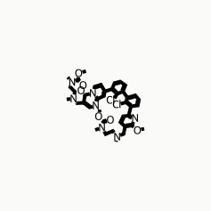 COC(=O)N(C)CCN(C)Cc1ccc(-c2cccc(-c3cccc(-c4ccn5c(=O)c(CN(C)CCN(C)C(=O)OC)cnc5c4)c3Cl)c2Cl)nc1OC